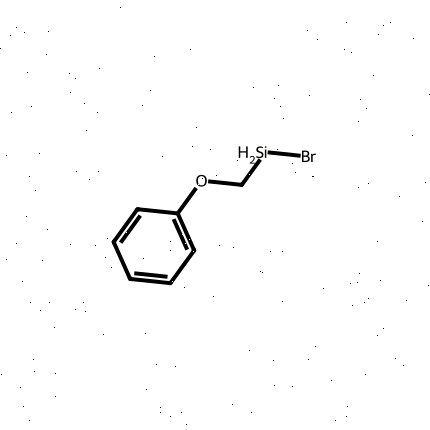 Br[SiH2]COc1ccccc1